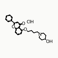 Cl.O=c1cc(-c2ccccc2)oc2cccc(OCCCCN3CCC(O)CC3)c12